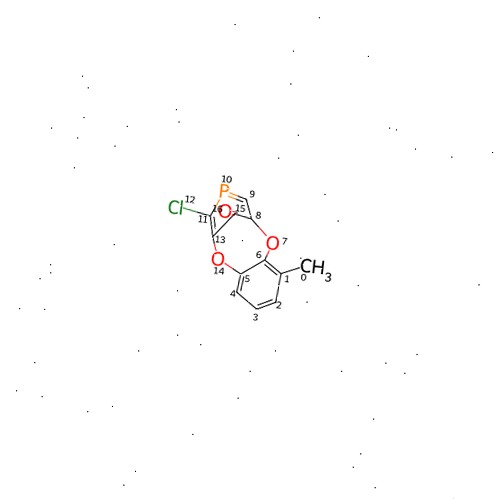 Cc1cccc2c1OC1C=PC(Cl)=C(O2)C1=O